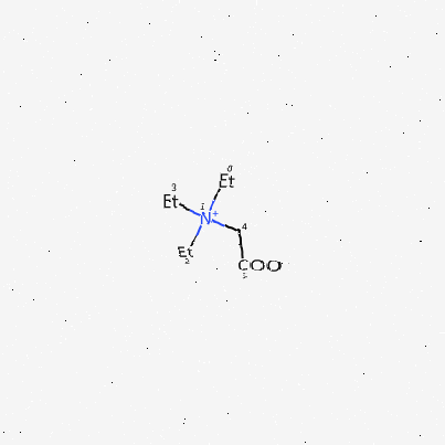 CC[N+](CC)(CC)CC(=O)[O-]